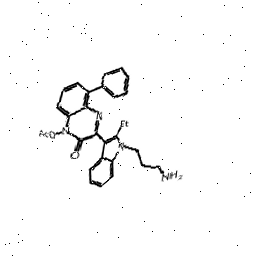 CCc1c(-c2nc3c(-c4ccccc4)cccc3n(OC(C)=O)c2=O)c2ccccc2n1CCCN